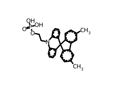 Cc1ccc2c(c1)-c1cc(C)ccc1C21c2ccccc2N(CCOP(=O)(O)O)c2ccccc21